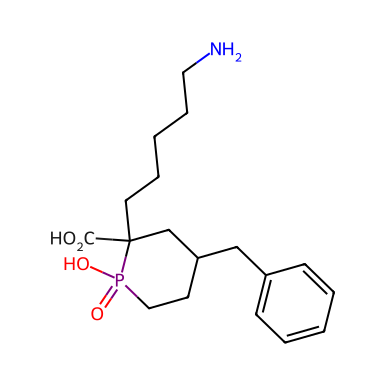 NCCCCCC1(C(=O)O)CC(Cc2ccccc2)CCP1(=O)O